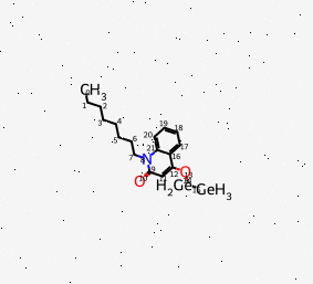 CCCCCCCCn1c(=O)cc([O][GeH2][GeH3])c2ccccc21